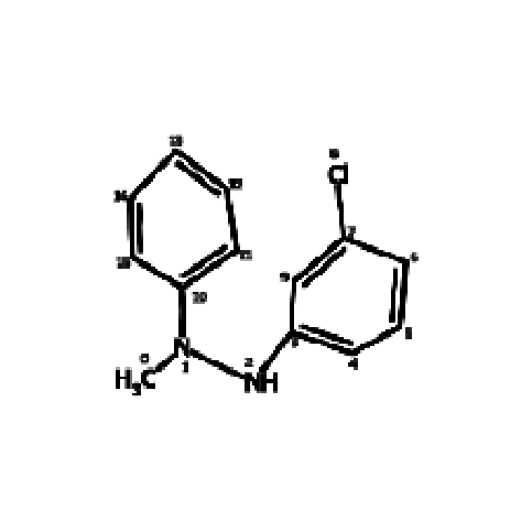 CN(Nc1cccc(Cl)c1)c1ccccc1